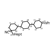 CCCCCCCC1(C#N)CCCC(C2CCC(C3CCC(CCC)CC3)CC2)C1